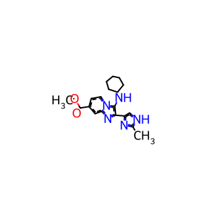 COC(=O)c1ccn2c(NC3CCCCC3)c(-c3c[nH]c(C)n3)nc2c1